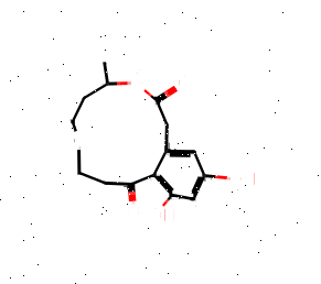 CC1CCCCCC(=O)c2c(O)cc(O)cc2CC(=O)O1